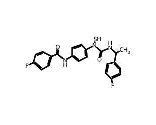 CC(NC(=O)N(S)c1ccc(NC(=O)c2ccc(F)cc2)cc1)c1ccc(F)cc1